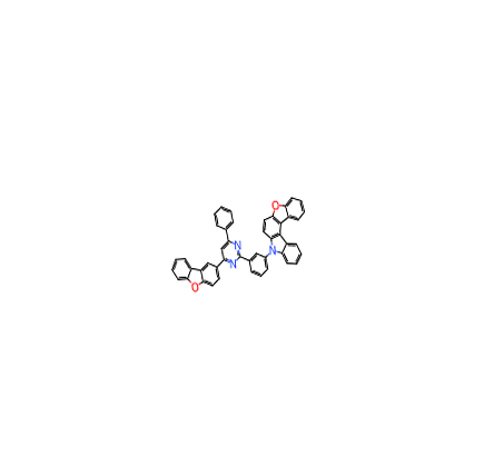 c1ccc(-c2cc(-c3ccc4oc5ccccc5c4c3)nc(-c3cccc(-n4c5ccccc5c5c6c(ccc54)oc4ccccc46)c3)n2)cc1